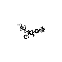 CC1(C)OB(c2ccc(-c3nc4cc(O[C@@H]5COC6C5OC[C@H]6O)n(C5CCCCO5)c4cc3F)cc2)OC1(C)C